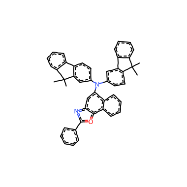 CC1(C)c2ccccc2-c2cc(N(c3ccc4c(c3)C(C)(C)c3ccccc3-4)c3cc4nc(-c5ccccc5)oc4c4ccccc34)ccc21